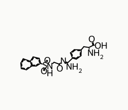 NC(=NC(=O)CNS(=O)(=O)c1ccc2ccccc2c1)c1ccc(C[C@H](N)C(=O)O)cc1